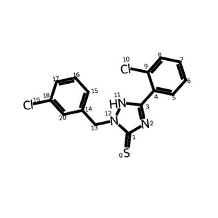 S=c1nc(-c2ccccc2Cl)[nH]n1Cc1cccc(Cl)c1